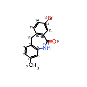 Cc1ccc2c(c1)NC(=O)c1cc(Br)ccc1C2